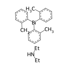 CCNCC.Cc1cccc[c]1[Bi]([c]1ccccc1C)[c]1ccccc1C